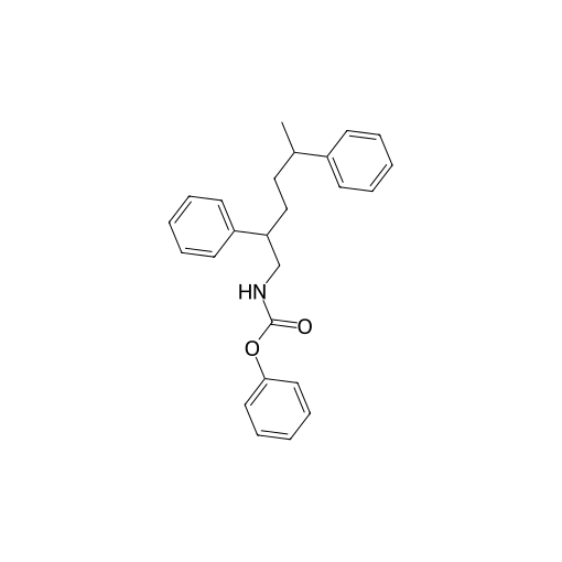 CC(CCC(CNC(=O)Oc1ccccc1)c1ccccc1)c1ccccc1